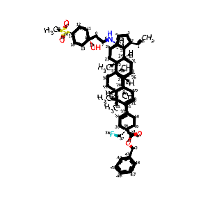 C=C[C@@H]1CC[C@]2(NCC[C@]3(O)CC[C@H](S(C)(=O)=O)CC3)CC[C@]3(C)[C@H](CC[C@@H]4[C@@]5(C)CC=C(C6=CC[C@](CF)(C(=O)OCc7ccccc7)CC6)C(C)(C)[C@@H]5CC[C@]43C)[C@@H]12